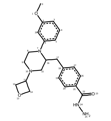 COc1cccc(N2CCN(C3COC3)CC2Cc2ccc(C(=O)NN)cc2)c1